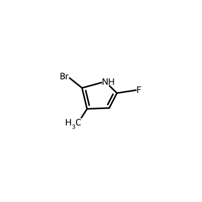 Cc1cc(F)[nH]c1Br